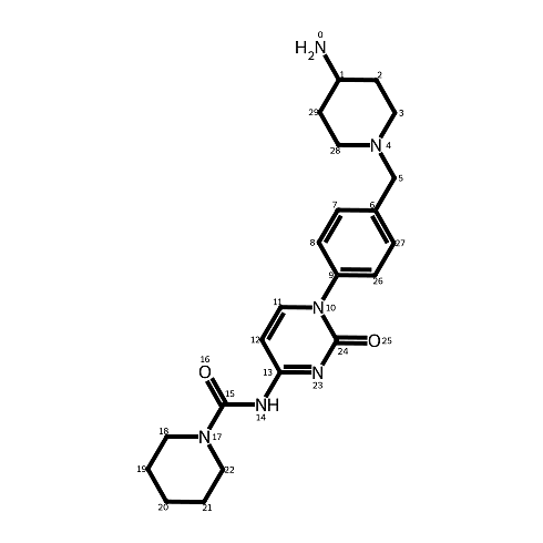 NC1CCN(Cc2ccc(-n3ccc(NC(=O)N4CCCCC4)nc3=O)cc2)CC1